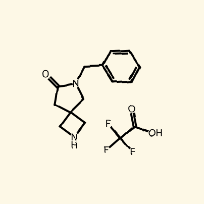 O=C(O)C(F)(F)F.O=C1CC2(CNC2)CN1Cc1ccccc1